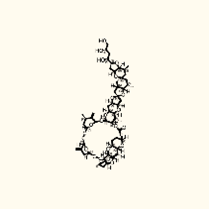 C=C1C2C[C@@H]3O[C@H]4C[C@H]5O[C@@]6(C[C@@H]7C[C@@]8(C[C@H](C)[C@@H]7O6)C[C@H](C)[C@@H]6O[C@H]([C@H](O)C[C@H](O)CO)C[C@@H]6O8)C[C@H]5O[C@H]4[C@H](C)[C@H]3OC(=O)C[C@H]3CC[C@@H]4O[C@@H]5[C@H]6O[C@H]7C[C@](CC[C@H]8CC(=C)[C@H](CC[C@@H](C[C@H]1C)O2)O8)(O[C@H]6[C@H]4O3)O[C@H]57